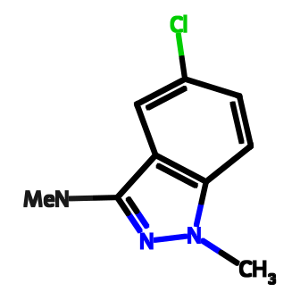 CNc1nn(C)c2ccc(Cl)cc12